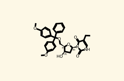 CCc1c[nH]c(=O)n([C@H]2C[C@@H](O)[C@@H](COC(c3ccccc3)(c3ccc(OC)cc3)c3ccc(OC)cc3)O2)c1=O